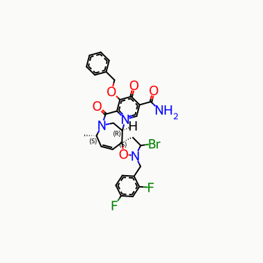 C[C@H]1C=C[C@@]2(CC(Br)N(Cc3ccc(F)cc3F)O2)[C@H]2CN1C(=O)c1c(OCc3ccccc3)c(=O)c(C(N)=O)cn12